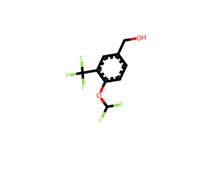 OCc1ccc(OC(F)F)c(C(F)(F)F)c1